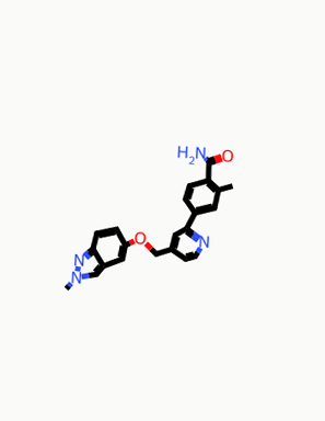 Cc1cc(-c2cc(COc3ccc4nn(C)cc4c3)ccn2)ccc1C(N)=O